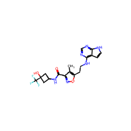 Cc1c(C(=O)NC2CC(O)(C(F)(F)F)C2)noc1CCNc1ncnc2[nH]ccc12